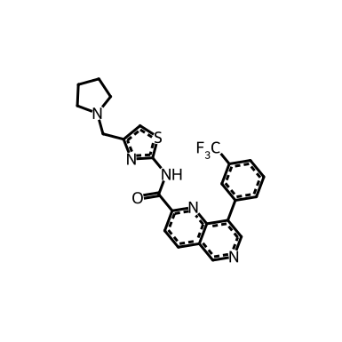 O=C(Nc1nc(CN2CCCC2)cs1)c1ccc2cncc(-c3cccc(C(F)(F)F)c3)c2n1